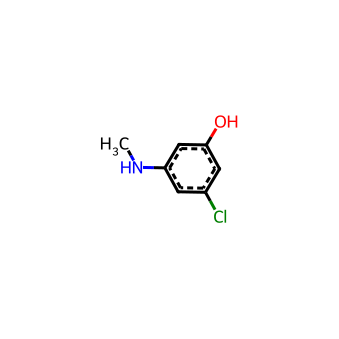 CNc1cc(O)cc(Cl)c1